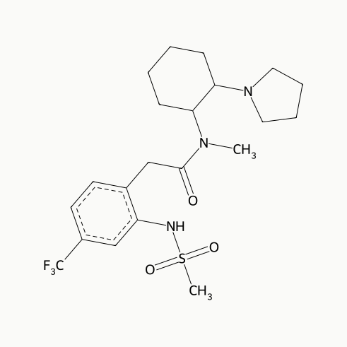 CN(C(=O)Cc1ccc(C(F)(F)F)cc1NS(C)(=O)=O)C1CCCCC1N1CCCC1